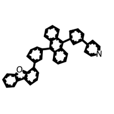 c1cc(-c2ccncc2)cc(-c2c3ccccc3c(-c3cccc(-c4cccc5c4oc4ccccc45)c3)c3ccccc23)c1